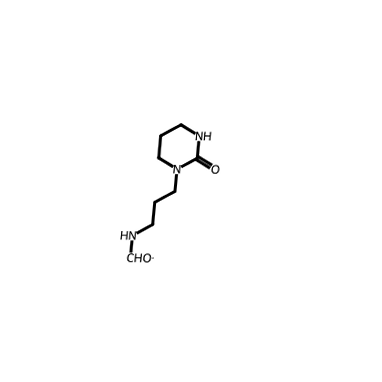 O=[C]NCCCN1CCCNC1=O